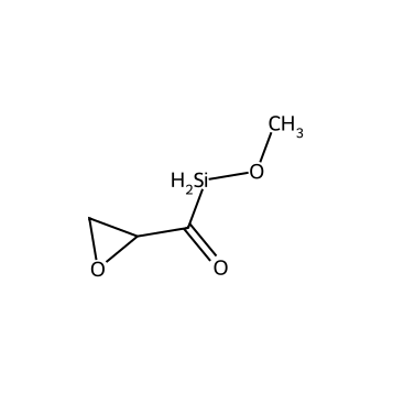 CO[SiH2]C(=O)C1CO1